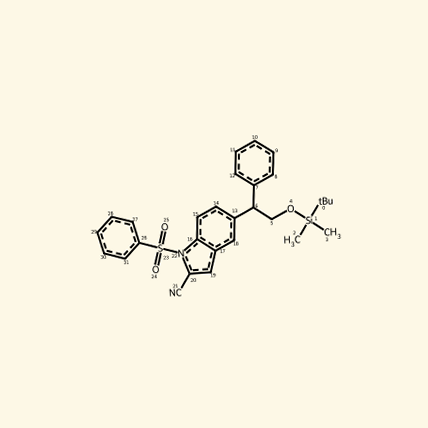 CC(C)(C)[Si](C)(C)OCC(c1ccccc1)c1ccc2c(c1)cc(C#N)n2S(=O)(=O)c1ccccc1